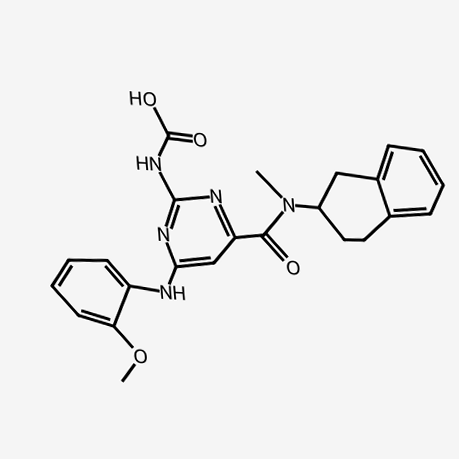 COc1ccccc1Nc1cc(C(=O)N(C)C2CCc3ccccc3C2)nc(NC(=O)O)n1